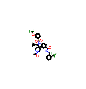 CC(=O)N1CCC2(CC1)c1cc(C(=O)NCc3ccccc3C(F)(F)F)ccc1N(S(=O)(=O)c1cccc(OC(F)F)c1)C2C1CC1